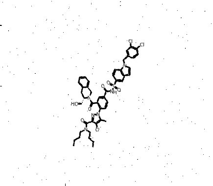 CCCCN(CCCC)C(=O)c1nn(-c2ccc(C(=O)NS(=O)(=O)c3ccc4c(ccn4Cc4ccc(Cl)c(Cl)c4)c3)cc2C(=O)N2Cc3ccccc3C[C@H]2CO)c(C)c1Cl